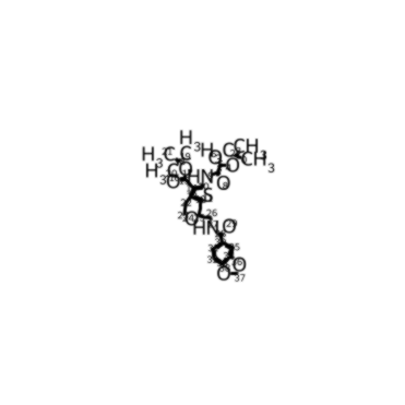 CC(C)(C)OC(=O)C(=O)Nc1sc2c(c1C(=O)OC(C)(C)C)CCOC2CNC(=O)c1ccc2c(c1)OCO2